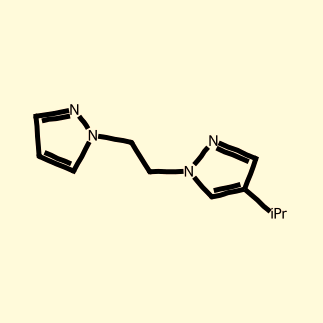 CC(C)c1cnn(CCn2cccn2)c1